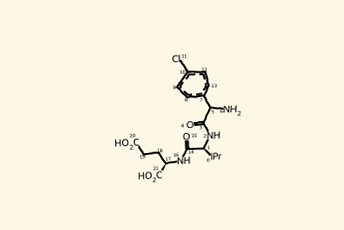 CC(C)[C@H](NC(=O)C(N)c1ccc(Cl)cc1)C(=O)N[C@H](CCC(=O)O)C(=O)O